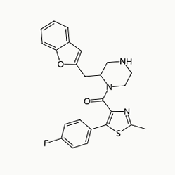 Cc1nc(C(=O)N2CCNCC2Cc2cc3ccccc3o2)c(-c2ccc(F)cc2)s1